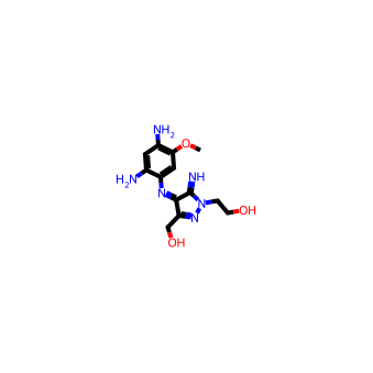 COc1cc(N=C2C(=N)N(CCO)N=C2CO)c(N)cc1N